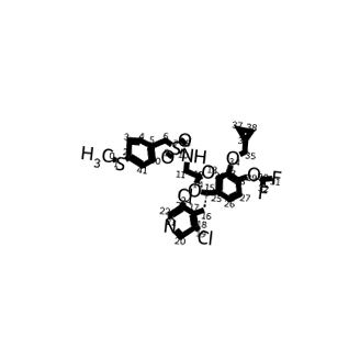 CSc1ccc(CS(=O)(=O)NCC(=O)O[C@@H](Cc2c(Cl)cncc2Cl)c2ccc(OC(F)F)c(OCC3CC3)c2)cc1